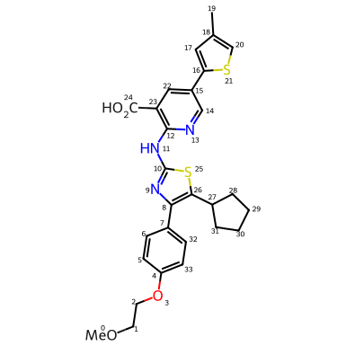 COCCOc1ccc(-c2nc(Nc3ncc(-c4cc(C)cs4)cc3C(=O)O)sc2C2CCCC2)cc1